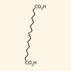 O=C(O)CCCCCCSCCCCCCC(=O)O